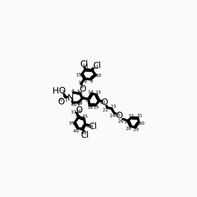 O=C(O)N1C[C@H](OCc2ccc(Cl)c(Cl)c2)C(c2ccc(OCCCOCc3ccccc3)cc2)[C@H](OCc2ccc(Cl)c(Cl)c2)C1